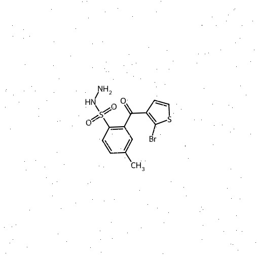 Cc1ccc(S(=O)(=O)NN)c(C(=O)c2ccsc2Br)c1